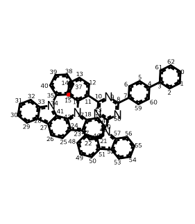 c1ccc(-c2ccc(-c3nc(-c4ccccc4-n4c5ccccc5c5ccc6c7ccccc7n(-c7ccccc7)c6c54)nc(-n4c5ccccc5c5ccccc54)n3)cc2)cc1